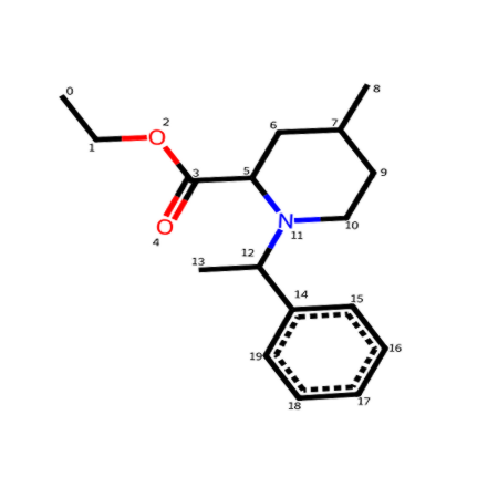 CCOC(=O)C1CC(C)[CH]CN1C(C)c1ccccc1